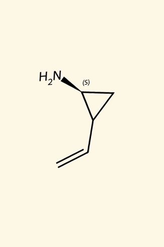 C=CC1C[C@@H]1N